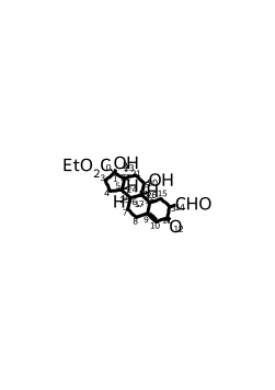 CCOC(=O)[C@@]1(O)CC[C@H]2[C@@H]3CCC4=CC(=O)C(C=O)C[C@]4(C)[C@H]3[C@@H](O)C[C@@]21C